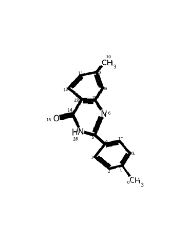 Cc1ccc(-c2nc3cc(C)ccc3c(=O)[nH]2)cc1